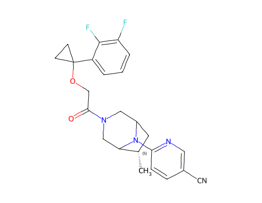 C[C@H]1CC2CN(C(=O)COC3(c4cccc(F)c4F)CC3)CC1N2c1ccc(C#N)cn1